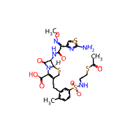 CON=C(C(=O)N[C@@H]1C(=O)N2C(C(=O)O)=C(Cc3cc(S(=O)(=O)NCCSC(C)=O)ccc3C)CS[C@H]12)c1csc(N)n1